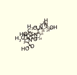 CC1C=C(C(=O)O)N2C(=O)C(SN3CCCC3C(=O)N3CCNC(CO)C3)(C(C)O)[C@H]12